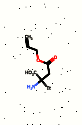 C=CCOC(=O)CC(N)(CC)C(=O)O